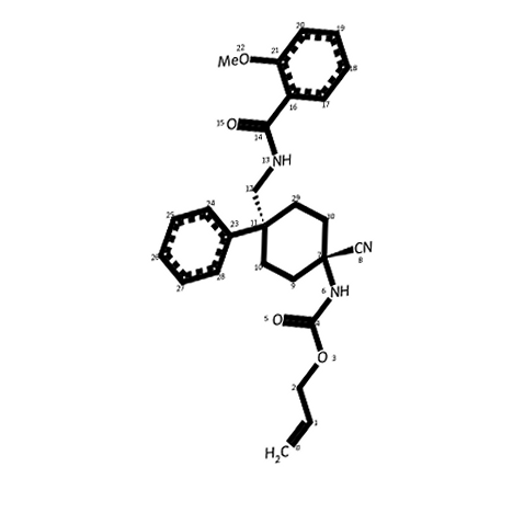 C=CCOC(=O)N[C@]1(C#N)CC[C@@](CNC(=O)c2ccccc2OC)(c2ccccc2)CC1